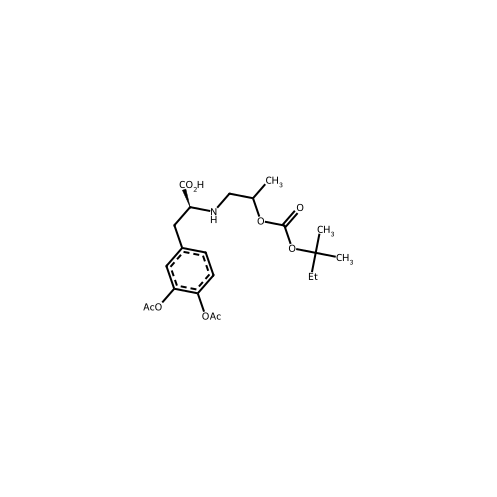 CCC(C)(C)OC(=O)OC(C)CN[C@@H](Cc1ccc(OC(C)=O)c(OC(C)=O)c1)C(=O)O